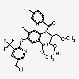 COCC(COC)N(C(=O)c1ccc(Cl)cn1)c1cc(F)c(Oc2ncc(CCl)cc2C(F)(F)F)cc1C(=O)OC